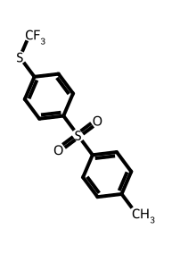 Cc1ccc(S(=O)(=O)c2ccc(SC(F)(F)F)cc2)cc1